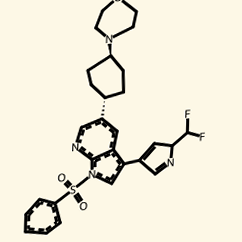 O=S(=O)(c1ccccc1)n1cc(C2=CC(C(F)F)N=C2)c2cc([C@H]3CC[C@H](N4CCOCC4)CC3)cnc21